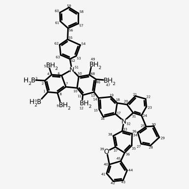 Bc1c(B)c(B)c2c(c1B)c1c(B)c(-c3ccc4c(c3)c3cccc(-c5ccccc5)c3n4-c3ccc4c(c3)oc3ccccc34)c(B)c(B)c1n2-c1ccc(-c2ccccc2)cc1